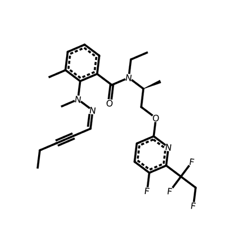 CCC#C/C=N\N(C)c1c(C)cccc1C(=O)N(CC)[C@@H](C)COc1ccc(F)c(C(F)(F)CF)n1